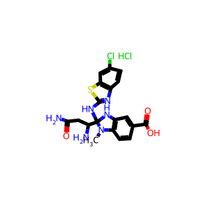 CN1c2ccc(C(=O)O)cc2NC1(Nc1nc2ccc(Cl)cc2s1)C(N)CC(N)=O.Cl